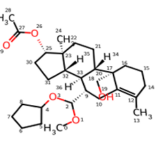 COC(OC1CCCC1)[C@H]1CC2=C(C)CCC[C@]2(CO)[C@H]2CC[C@]3(C)[C@@H](OC(C)=O)CC[C@H]3[C@H]12